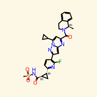 C[C@@H]1c2ccccc2CCN1C(=O)c1cc(C2CC2)n2nc(-c3ccc([C@@H]4C[C@H]4C(=O)NS(C)(=O)=O)nc3F)cc2n1